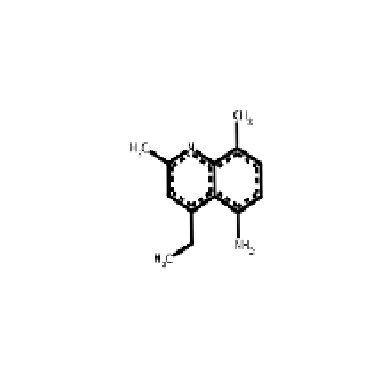 CCc1cc(C)nc2c(C)ccc(N)c12